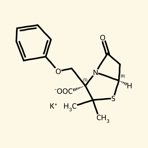 CC1(C)S[C@@H]2CC(=O)N2[C@@]1(COc1ccccc1)C(=O)[O-].[K+]